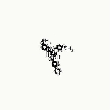 COc1ccc(Cn2nc(NC(=O)c3ccc(N4CCOCC4)nc3)cc2-c2nc3cc(OC)ccc3[nH]2)cc1